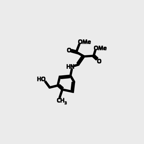 COC(=O)C(=CNc1ccc(C)c(CO)c1)C(=O)OC